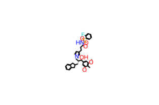 COc1cc([C@@H](O)[C@H](CC2Cc3ccccc3C2)Cn2ccc(CCC(=O)NS(=O)(=O)c3ccccc3F)c2)cc(OC)c1C